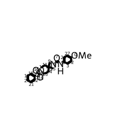 COc1ccc(NC(=O)N2CC3(CCN(S(=O)(=O)c4ccccc4)CC3)C2)cc1